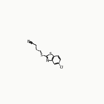 N#CCCCSc1nc2cc(Cl)ccc2s1